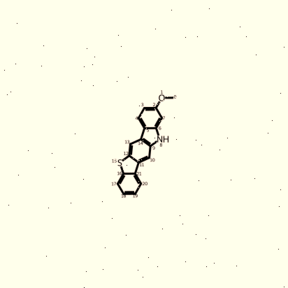 COc1ccc2c(c1)[nH]c1cc3c(cc12)sc1ccccc13